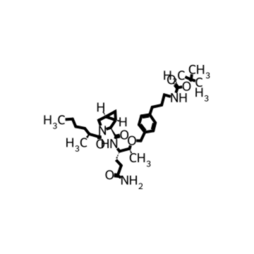 CCCC[C@H](C)C(=O)N1C[C@H]2C[C@H]2[C@H]1C(=O)N[C@@H](CCC(N)=O)[C@@H](C)OCc1ccc(CCCNC(=O)OC(C)(C)C)cc1